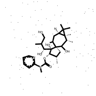 CC(CO)[C@@H](O)[C@]1(O)[C@@H](OC(=O)N(C)c2ccccn2)[C@@H](C)C[C@@]12C(C)C[C@H]1C(C)(C)[C@@]1(C)[C@H](C)C2O